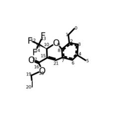 CCc1cc(C)cc2c1O[C@H](C(F)(F)F)C(C(=O)OCI)=C2